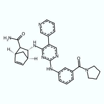 NC(=O)C1[C@@H]2C=C[C@@H](C2)[C@H]1Nc1nc(Nc2cccc(C(=O)N3CCCC3)c2)ncc1-c1cccnc1